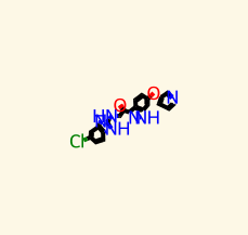 O=C(CNc1nc2cc(Cl)ccc2[nH]1)c1n[nH]c2cc(Oc3cccnc3)ccc12